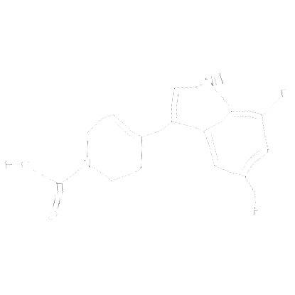 CC(=O)N1CC=C(c2c[nH]c3c(F)cc(F)cc23)CC1